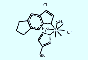 CCCCC1=C[CH]([Zr]([CH3])([CH3])([CH3])([CH3])([SiH3])([SiH3])[CH]2C=Cc3cc4c(cc32)CCC4)C=C1.[Cl-].[Cl-]